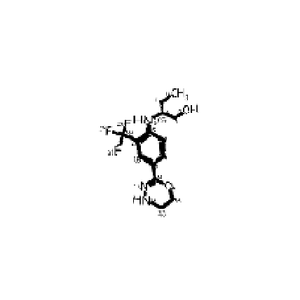 CC[C@@H](CO)Nc1ccc(C2=NNCCO2)cc1C(F)(F)F